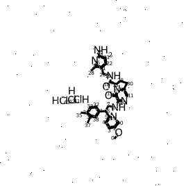 COc1ccc(C(CNc2ncc3n(c2=O)C(C(=O)NCc2ccc(N)nc2C)CC3)c2ccc(C)c(C)c2)nc1.Cl.Cl.Cl